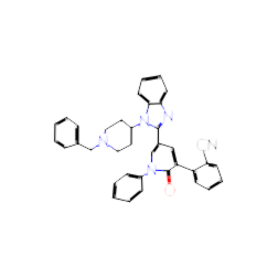 N#Cc1ccccc1-c1cc(-c2nc3ccccc3n2C2CCN(Cc3ccccc3)CC2)cn(-c2ccccc2)c1=O